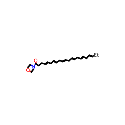 CCC=CCC=CCC=CCC=CCC=CCC=CCCC(=O)N1CCOCC1